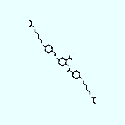 C=CC(=O)OCCCCOc1ccc(/C=N/c2ccc(NC(=O)c3ccc(OCCCCOC(=O)C=C)cc3)c(C(=O)OC)c2)cc1